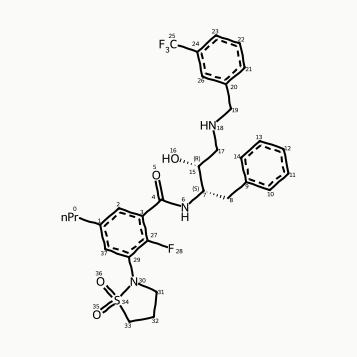 CCCc1cc(C(=O)N[C@@H](Cc2ccccc2)[C@H](O)CNCc2cccc(C(F)(F)F)c2)c(F)c(N2CCCS2(=O)=O)c1